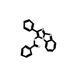 O=C(Sc1c(-c2ccccc2)nc2nc3cccccc3n12)c1ccccc1